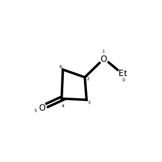 CCOC1CC(=O)C1